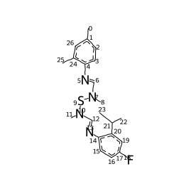 Cc1ccc(N=CN(C)SN(C)C=Nc2ccc(F)cc2C(C)C)c(C)c1